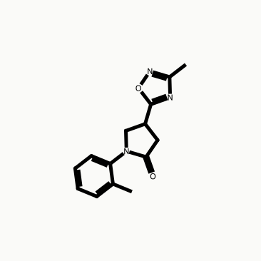 Cc1noc(C2CC(=O)N(c3ccccc3C)C2)n1